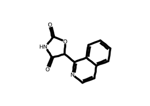 O=C1NC(=O)C(c2nccc3ccccc23)O1